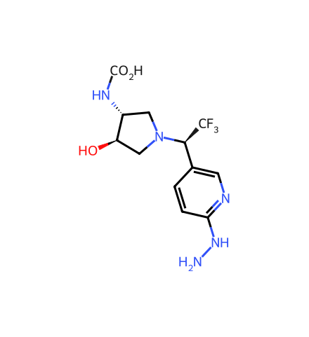 NNc1ccc([C@@H](N2C[C@@H](O)[C@H](NC(=O)O)C2)C(F)(F)F)cn1